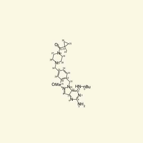 CCCCNc1nc(N)nc2cnn(Cc3ccc(CN4CCN(C(=O)C5(C)CC5)CC4)cc3OC)c12